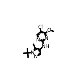 COc1nc(Nc2cnn(C(C)(C)C)c2C)ncc1Cl